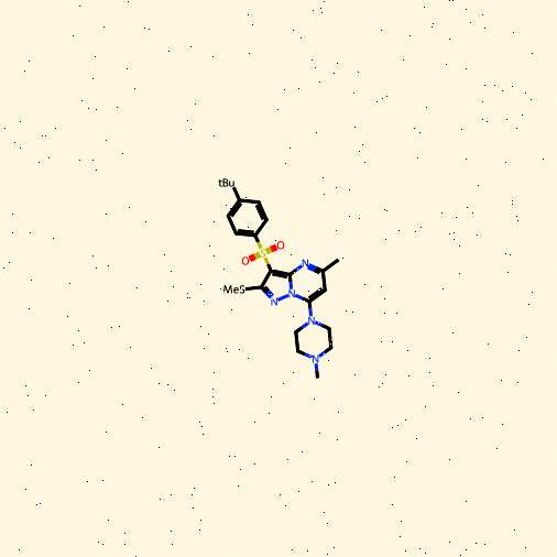 CSc1nn2c(N3CCN(C)CC3)cc(C)nc2c1S(=O)(=O)c1ccc(C(C)(C)C)cc1